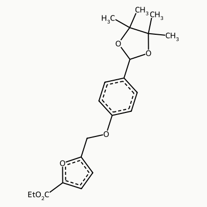 CCOC(=O)c1ccc(COc2ccc(C3OC(C)(C)C(C)(C)O3)cc2)o1